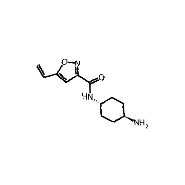 C=Cc1cc(C(=O)N[C@H]2CC[C@H](N)CC2)no1